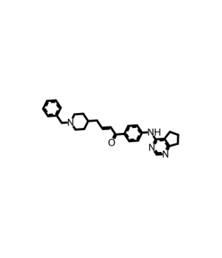 O=C(/C=C/CC1CCN(Cc2ccccc2)CC1)c1ccc(Nc2ncnc3c2CCC3)cc1